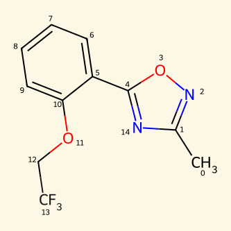 Cc1noc(-c2ccccc2OCC(F)(F)F)n1